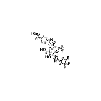 CC(C)(C)OC(=O)N1CCC(C2=NOC(C[C@H]3O[C@H](CO)[C@H](O)[C@H](n4cc(-c5cc(F)c(F)c(F)c5)nn4)[C@H]3OCC(F)F)C2)CC1